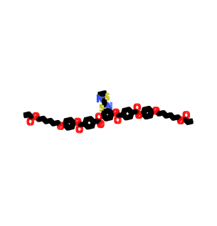 C=CC(=O)OCCCCCCOc1ccc(OC(=O)C2CCC(C(=O)Oc3ccc(OC(=O)C4CCC(C(=O)Oc5ccc(OCCCCCCOC(=O)C=C)cc5)CC4)c4sc(-c5nccs5)nc34)CC2)cc1